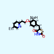 CCc1ccc(CCOc2ccc(CC3SC(=O)NC3=O)cc2)nc1.[NaH]